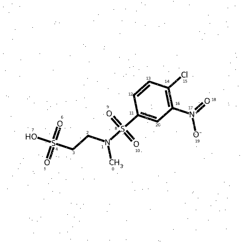 CN(CCS(=O)(=O)O)S(=O)(=O)c1ccc(Cl)c([N+](=O)[O-])c1